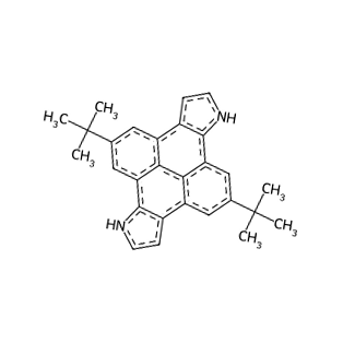 CC(C)(C)c1cc2c3cc[nH]c3c3cc(C(C)(C)C)cc4c5cc[nH]c5c(c1)c2c43